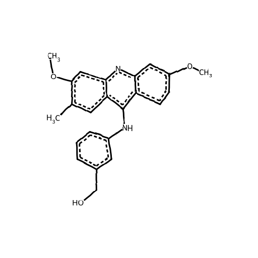 COc1ccc2c(Nc3cccc(CO)c3)c3cc(C)c(OC)cc3nc2c1